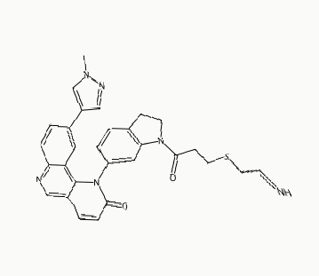 Cn1cc(-c2ccc3ncc4ccc(=O)n(-c5ccc6c(c5)N(C(=O)CCSCC=N)CC6)c4c3c2)cn1